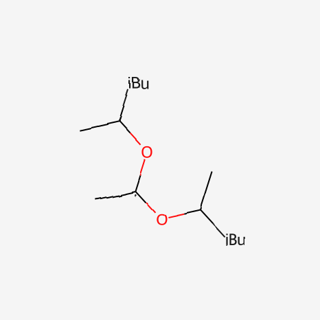 CCC(C)C(C)O[C](C)OC(C)C(C)CC